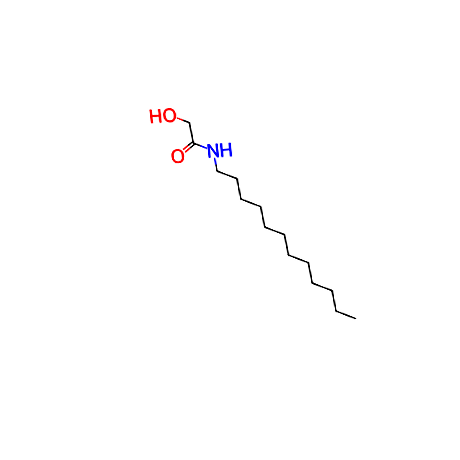 CCCCCCCCCCCCNC(=O)CO